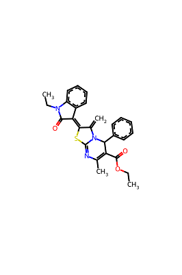 C=C1/C(=C2/C(=O)N(CC)c3ccccc32)SC2=NC(C)=C(C(=O)OCC)C(c3ccccc3)N12